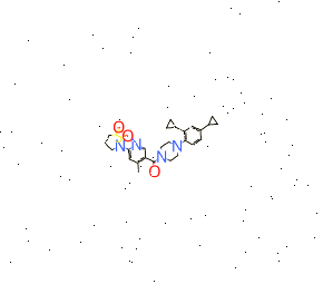 Cc1cc(N2CCCS2(=O)=O)ncc1C(=O)N1CCN(c2ccc(C3CC3)cc2C2CC2)CC1